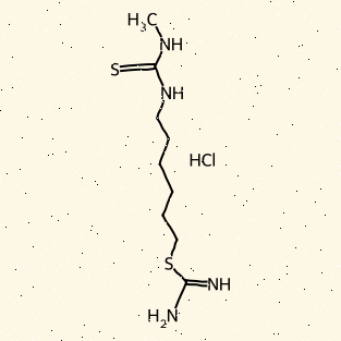 CNC(=S)NCCCCCCSC(=N)N.Cl